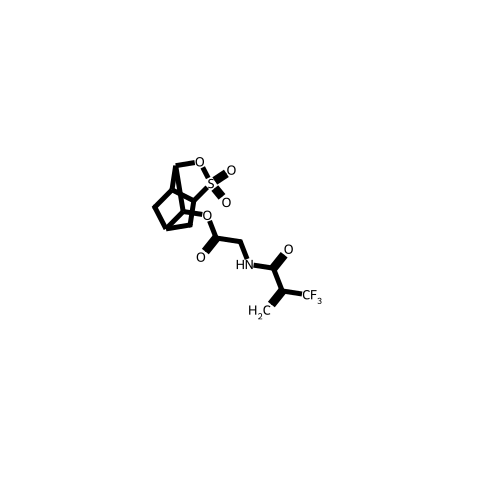 C=C(C(=O)NCC(=O)OC1C2CC3C1OS(=O)(=O)C3C2)C(F)(F)F